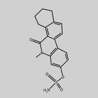 Cn1c(=O)c2c3c(ccc2c2ccc(OS(N)(=O)=O)cc21)CCCC3